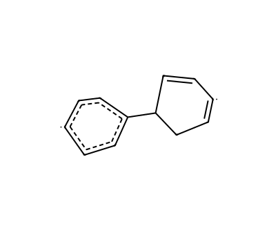 [C]1=CCC(c2cc[c]cc2)C=C1